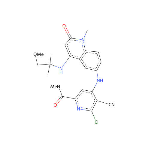 CNC(=O)c1cc(Nc2ccc3c(c2)c(NC(C)(C)COC)cc(=O)n3C)c(C#N)c(Cl)n1